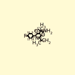 C=C(C)c1cc2c(c(-c3ccc(F)cc3)n1)OCC2(C)C(N)=O